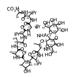 CC(=O)NC1[C@@H](OC(C)[C@H](N)C(=O)NC(C(=O)N2CC(O)C[C@H]2C(=O)NC(C)C(=O)N[C@@H](C)C(=O)NC(C(=O)N[C@H](C(=O)NC(C(=O)N[C@@H](C)C(=O)O)C(C)C)C(C)C)C(C)C)C(C)C)OC(CO)[C@H](O)[C@@H]1O[C@@H]1OC(CO)[C@H](O)C(O)[C@@H]1O